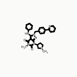 CN1CCC(n2c(=O)n(C)c(=O)c3c(Nc4ccccc4)n(Cc4ccc(-c5ccccn5)cc4)nc32)C1